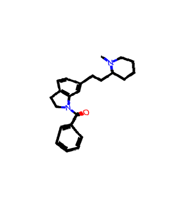 CN1CCCCC1CCc1ccc2c(c1)N(C(=O)c1ccccc1)CC2